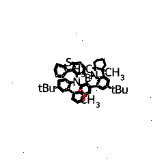 Cc1cc2c3c(c1)N(c1ccc(C(C)(C)C)cc1-c1ccccc1)c1c(ccc4sc5ccccc5c14)B3N1c3c-2cc(C(C)(C)C)cc3C2(C)CCCCC12C